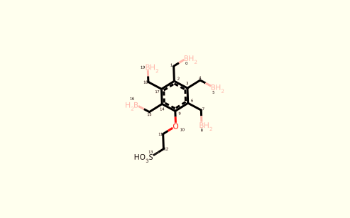 BCc1c(CB)c(CB)c(OCCS(=O)(=O)O)c(CB)c1CB